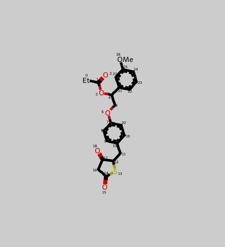 CCC(=O)OC(COc1ccc(CC2SC(=O)CC2=O)cc1)c1cccc(OC)c1